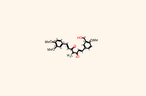 COc1ccc(/C=C/C(=O)C(C)C(=O)/C=C/c2ccc(OC)c(OC)c2)cc1CO